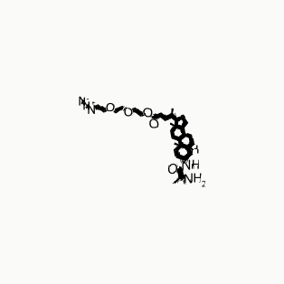 C[C@H](N)C(=O)N[C@@H]1CC[C@]2(C)C3CC[C@@]4(C)C(CCC4[C@H](C)CCC(=O)OCCOCCOCCN=[N+]=[N-])C3CC[C@@H]2C1